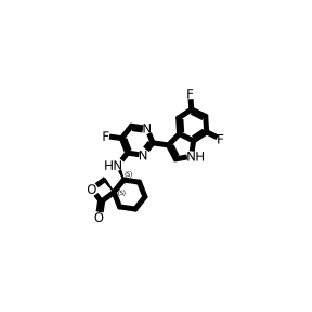 O=C1OC[C@@]12CCCC[C@@H]2Nc1nc(-c2c[nH]c3c(F)cc(F)cc23)ncc1F